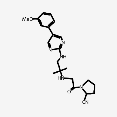 COc1cccc(-c2cnc(NCC(C)(C)NCC(=O)N3CCCC3C#N)nc2)c1